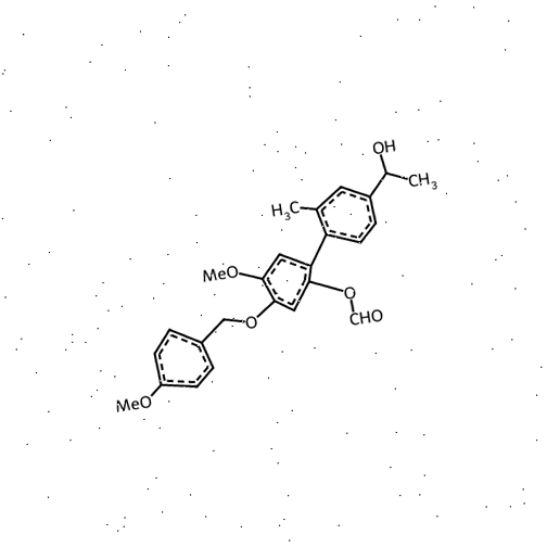 COc1ccc(COc2cc(OC=O)c(-c3ccc(C(C)O)cc3C)cc2OC)cc1